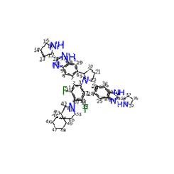 Fc1cc(N2[C@@H](c3ccc4nc([C@@H]5CCCN5)[nH]c4c3)CC[C@@H]2c2ccc3nc([C@@H]4CCCN4)[nH]c3c2)cc(F)c1N1CCC2(CCCCC2)CC1